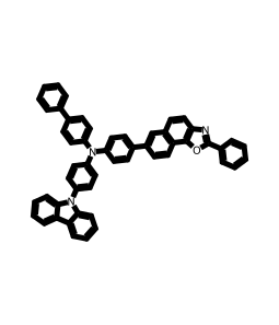 c1ccc(-c2ccc(N(c3ccc(-c4ccc5c(ccc6nc(-c7ccccc7)oc65)c4)cc3)c3ccc(-n4c5ccccc5c5ccccc54)cc3)cc2)cc1